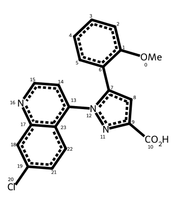 COc1ccccc1-c1cc(C(=O)O)nn1-c1ccnc2cc(Cl)ccc12